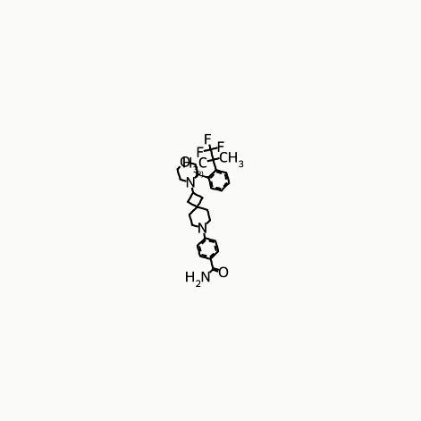 CC(C)(c1ccccc1[C@@H]1COCCN1C1CC2(CCN(c3ccc(C(N)=O)cc3)CC2)C1)C(F)(F)F